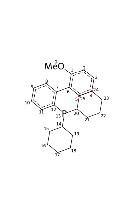 COc1ccccc1-c1ccccc1P(C1CCCCC1)C1CCCCC1